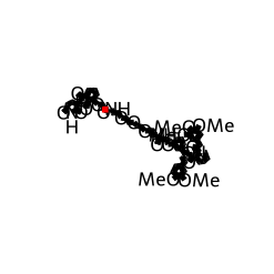 COc1ccc(CC[C@@H](OC(=O)[C@@H]2CCCCN2C(=O)Cc2cc(OC)c(OC)c(OC)c2)c2cccc(OCC(=O)NCCOCCOCCOCCNC(=O)COc3cccc4c3C(=O)N(C3CCC(=O)NC3=O)C4=O)c2)cc1OC